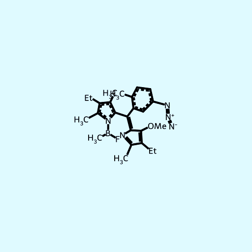 CCC1=C(OC)/C(=C(\c2cc(N=[N+]=[N-])ccc2C)c2c(C)c(CC)c(C)n2B(C)F)N=C1C